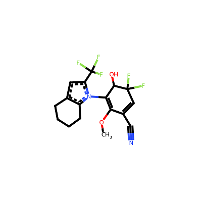 COC1=C(n2c(C(F)(F)F)cc3c2CCCC3)C(O)C(F)(F)C=C1C#N